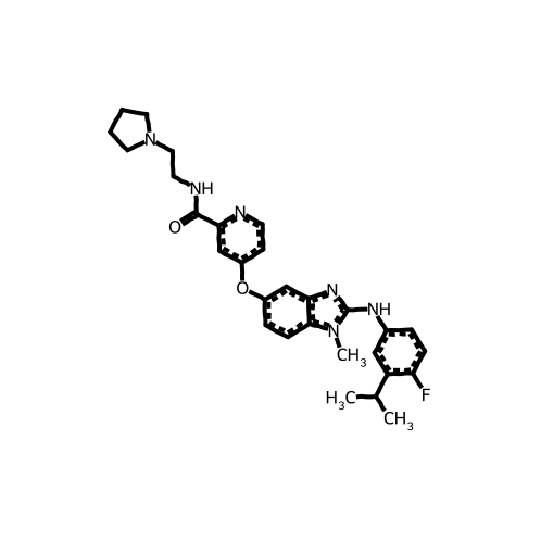 CC(C)c1cc(Nc2nc3cc(Oc4ccnc(C(=O)NCCN5CCCC5)c4)ccc3n2C)ccc1F